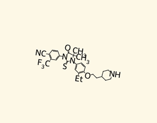 CCc1cc(N2C(=S)N(c3ccc(C#N)c(C(F)(F)F)c3)C(=O)C2(C)C)ccc1OCCC1CCNCC1